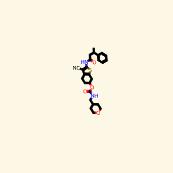 CC(CC(=O)Nc1sc2c(c1C#N)CCC(OC(=O)NCC1CCOCC1)C2)c1ccccc1